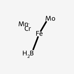 [BH2][Fe][Mo].[Cr].[Mn]